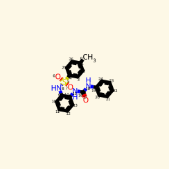 Cc1ccc(S(=O)(=O)Nc2ccccc2NC(=O)Nc2ccccc2)cc1